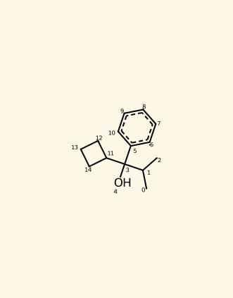 CC(C)C(O)(c1[c]cccc1)C1CCC1